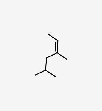 C/C=C(/C)CC(C)C